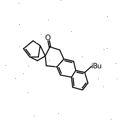 CCC(C)c1cccc2cc3c(cc12)CC(=O)C1(CC2=CCC1C2)C3